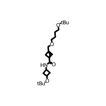 CC(C)(C)OCCCCOCC12CC(C(=O)NC3CC(OC(C)(C)C)C3)(C1)C2